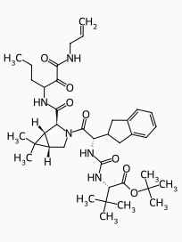 C=CCNC(=O)C(=O)C(CCC)NC(=O)[C@@H]1[C@@H]2[C@H](CN1C(=O)[C@@H](NC(=O)N[C@H](C(=O)OC(C)(C)C)C(C)(C)C)C1Cc3ccccc3C1)C2(C)C